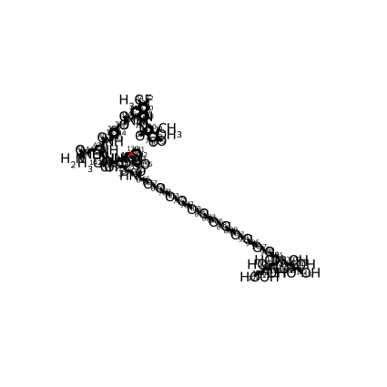 CC[C@@]1(O)C(=O)OCc2c1cc1n(c2=O)Cc2c-1nc1cc(F)c(C)c3c1c2[C@@H](NC(=O)OCc1ccc(NC(=O)[C@H](CCCNC(N)=O)NC(=O)[C@@H](NC(=O)[C@H](CCCCNC(=O)CCOCCOCCOCCOCCOCCOCCOCCOCCOCCOCCOCCOCCN(C[C@@H](O)[C@@H](O)[C@H](O)[C@H](O)CO)C[C@@H](O)[C@@H](O)[C@H](O)[C@H](O)CO)NC(=O)CCCCCN2C(=O)C=CC2=O)C(C)C)cc1)CC3